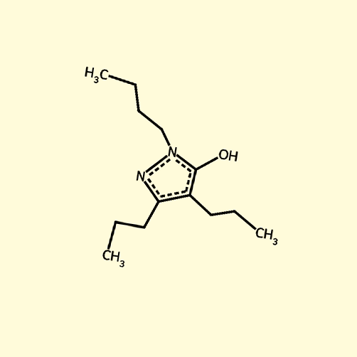 CCCCn1nc(CCC)c(CCC)c1O